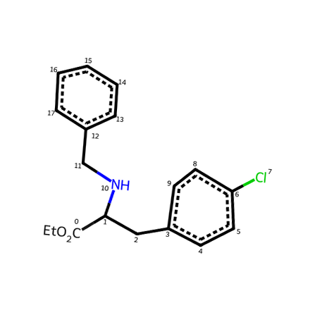 CCOC(=O)C(Cc1ccc(Cl)cc1)NCc1ccccc1